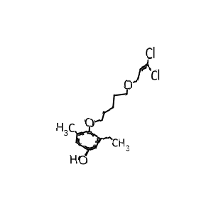 CCc1cc(O)cc(C)c1OCCCCCOCC=C(Cl)Cl